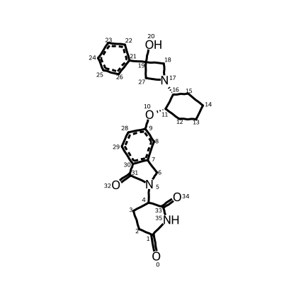 O=C1CCC(N2Cc3cc(O[C@H]4CCCC[C@H]4N4CC(O)(c5ccccc5)C4)ccc3C2=O)C(=O)N1